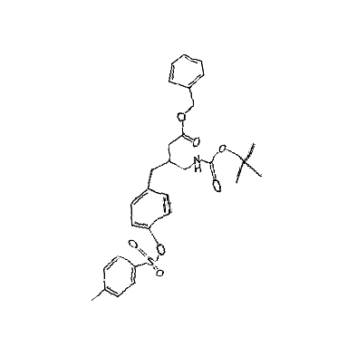 Cc1ccc(S(=O)(=O)Oc2ccc(CC(CNC(=O)OC(C)(C)C)CC(=O)OCc3ccccc3)cc2)cc1